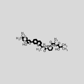 CC(C)C(O)C(=O)N[C@@H](C)C(=O)N1CCC[C@@H](C(=O)N[C@H](C)c2ccc3ccc(/C=C/C4(C(=O)O)COC(C)(C)CO4)cc3n2)N1